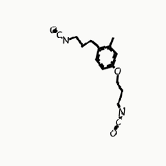 Cc1cc(OCCCN=C=O)ccc1CCCN=C=O